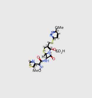 CON=C(C(=O)NC1C(=O)N2C(OC(=O)O)=C(CSc3ccc(OC)nn3)CS[C@@H]12)c1cscn1